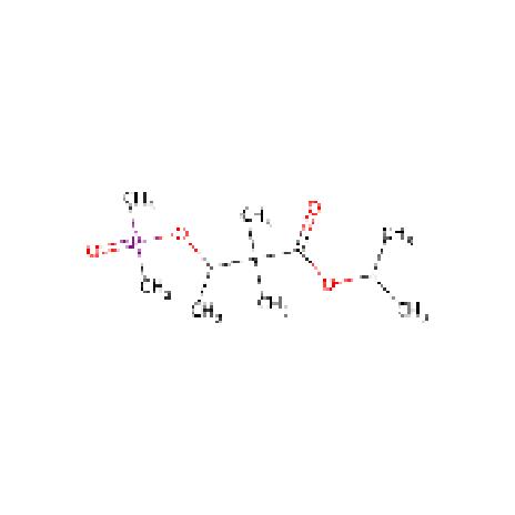 CC(C)OC(=O)C(C)(C)C(C)OP(C)(C)=O